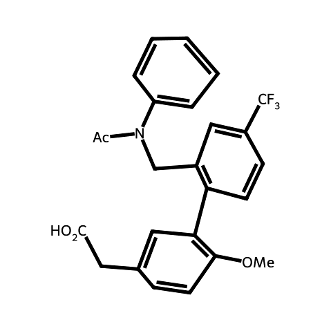 COc1ccc(CC(=O)O)cc1-c1ccc(C(F)(F)F)cc1CN(C(C)=O)c1ccccc1